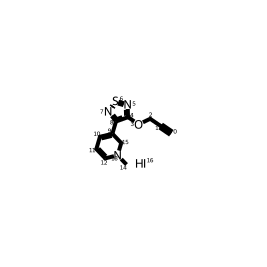 C#CCOc1nsnc1C1=CC=CN(C)C1.I